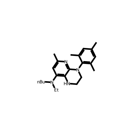 CCCCN(CC)c1cc(C)nc2c1NCCN2c1c(C)cc(C)cc1C